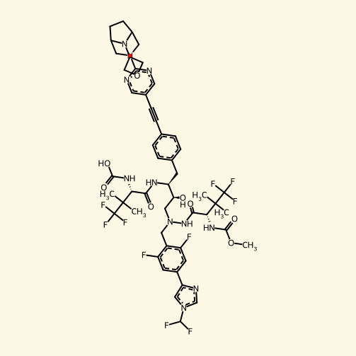 COC(=O)N[C@H](C(=O)NN(Cc1c(F)cc(-c2cn(C(F)F)cn2)cc1F)C[C@H](O)[C@H](Cc1ccc(C#Cc2cnc(N3CC4CCC(C3)N4C3COC3)nc2)cc1)NC(=O)[C@@H](NC(=O)O)C(C)(C)C(F)(F)F)C(C)(C)C(F)(F)F